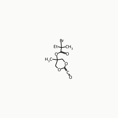 CCC(C)(Br)C(=O)OC1(C)COC(=C=O)OC1